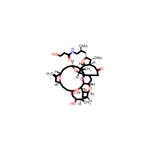 C=C1C[C@@H]2CC[C@@]3(O)CC(O)[C@H](C)[C@@H]4C[C@@H]5[C@H]4O[C@H]4CC[C@@H]6CC(=O)C[C@@H]7[C@@H](OC)[C@@H](C[C@@H](CNC(=O)CCO)OC)O[C@H]7C[C@H]7O[C@@H](CC[C@@H]1O2)C[C@@H](C)/C7=N/[C@@]4(O6)[C@@H]5O3